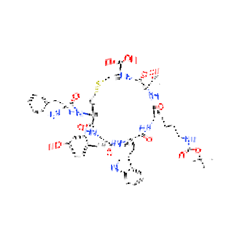 C[C@@H](O)[C@@H]1NC(=O)[C@H](CCCCNC(=O)OC(C)(C)C)NC(=O)[C@@H](Cc2c[nH]c3ccccc23)NC(=O)[C@H](Cc2ccc(O)cc2)NC(=O)[C@@H](NC(=O)[C@H](N)Cc2ccccc2)CSSC[C@@H](C(=O)O)NC1=O